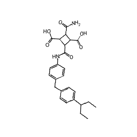 CCC(CC)c1ccc(Cc2ccc(NC(=O)C3C(C(=O)O)C(C(N)=O)C3C(=O)O)cc2)cc1